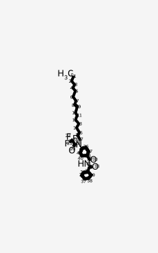 CCCCCCCCC=CCCCCCCCCN(C(=O)C(F)(F)F)c1ccc(C(=O)NC(=O)c2ccccc2)cc1